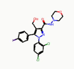 O=C(NN1CCOCC1)c1nn(-c2ccc(Cl)cc2Cl)c(-c2ccc(I)cc2)c1CO